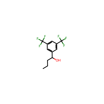 CCCC(O)c1cc(C(F)(F)F)cc(C(F)(F)F)c1